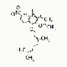 CC(C)=CCC/C(C)=C/COc1c(OC(C)C)c(=O)[nH]c2cc([N+](=O)[O-])ccc12